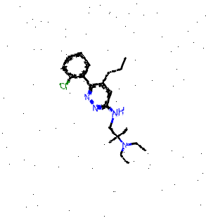 CCCc1cc(NCC(C)(C)N(CC)CC)nnc1-c1ccccc1Cl